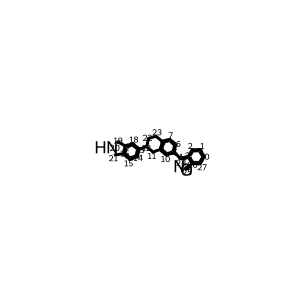 c1ccc2c(-c3ccc4c(c3)CC(c3ccc5c(c3)CNC5)CC4)noc2c1